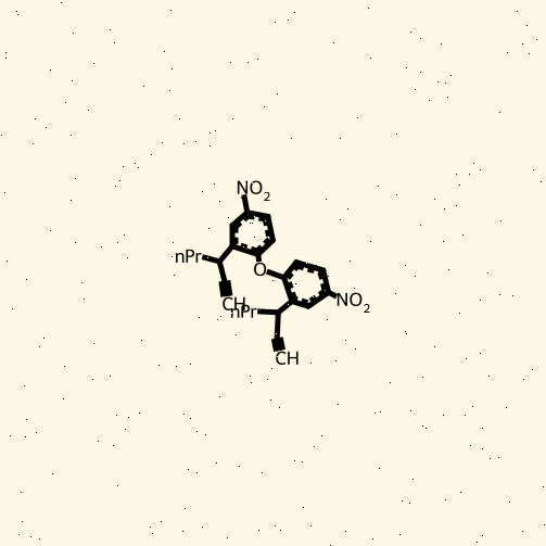 C#CC(CCC)c1cc([N+](=O)[O-])ccc1Oc1ccc([N+](=O)[O-])cc1C(C#C)CCC